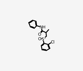 CC(C[S+]([O-])c1ccccc1Cl)C(=O)Nc1ccccc1